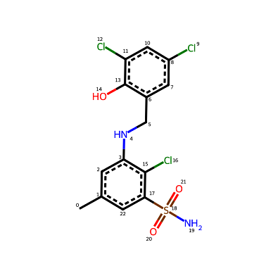 Cc1cc(NCc2cc(Cl)cc(Cl)c2O)c(Cl)c(S(N)(=O)=O)c1